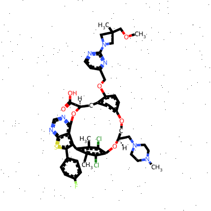 COCC1(C)CN(c2nccc(COc3ccc4cc3C[C@H](C(=O)O)Oc3ncnc5sc(-c6ccc(F)cc6)c(c35)-c3c(C)c(Cl)c(c(Cl)c3C)O[C@H](CN3CCN(C)CC3)CO4)n2)C1